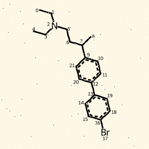 CCN(CC)CCC(C)c1ccc(-c2ccc(Br)cc2)cc1